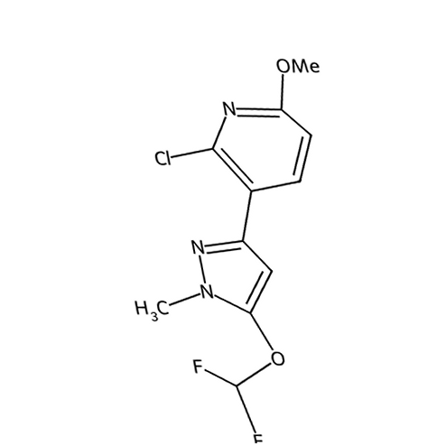 COc1ccc(-c2cc(OC(F)F)n(C)n2)c(Cl)n1